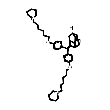 c1cc(C(=C2C3C[C@H]4CC2C[C@@H](C3)C4)c2ccc(OCCCCCCN3CCCCC3)cc2)ccc1OCCCCCCN1CCCCC1